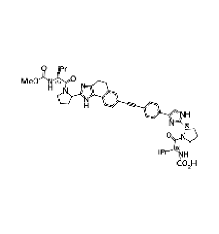 COC(=O)N[C@H](C(=O)N1CCCC1c1nc2c([nH]1)-c1ccc(C#Cc3ccc(-c4c[nH]c([C@@H]5CCCN5C(=O)[C@@H](NC(=O)O)C(C)C)n4)cc3)cc1CC2)C(C)C